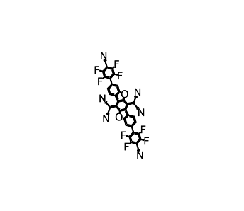 N#CC(C#N)=c1c2oc3cc(-c4c(F)c(F)c(C#N)c(F)c4F)ccc3c2c(=C(C#N)C#N)c2oc3cc(-c4c(F)c(F)c(C#N)c(F)c4F)ccc3c12